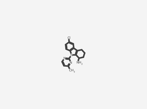 Cc1ccnc(-n2c3c(c4cc(Cl)ccc42)CCCC3N)n1